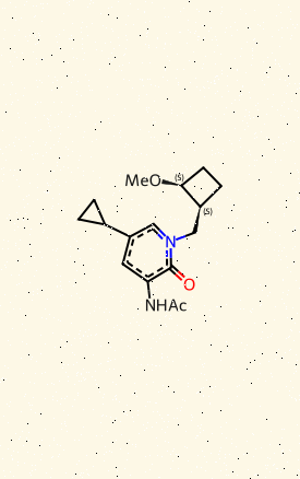 CO[C@H]1CC[C@H]1Cn1cc(C2CC2)cc(NC(C)=O)c1=O